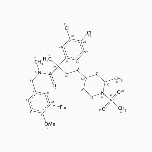 COc1ccc(CN(C)C(=O)C(C)(CCN2CCN(S(C)(=O)=O)C(C)C2)c2ccc(Cl)c(Cl)c2)cc1F